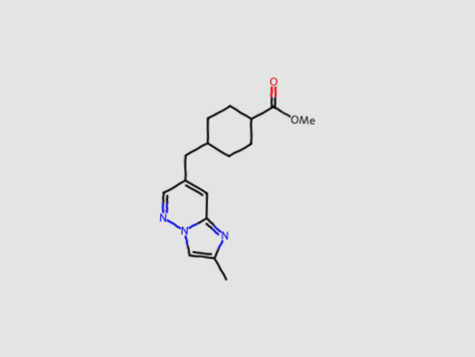 COC(=O)C1CCC(Cc2cnn3cc(C)nc3c2)CC1